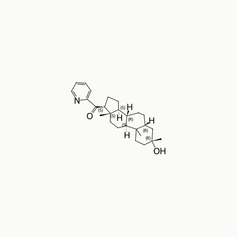 CC12CC[C@@](C)(O)C[C@H]1CC[C@@H]1[C@@H]2CC[C@]2(C)[C@@H](C(=O)c3ccccn3)CC[C@@H]12